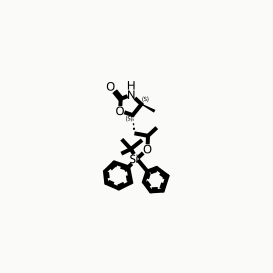 CC(C[C@@H]1OC(=O)N[C@H]1C)O[Si](c1ccccc1)(c1ccccc1)C(C)(C)C